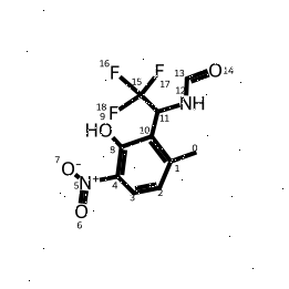 Cc1ccc([N+](=O)[O-])c(O)c1C(NC=O)C(F)(F)F